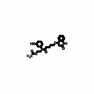 CC(=O)OCCN(C(=O)CCCCOC1CC(=O)Nc2ccccc21)C1CCCC(O)C1